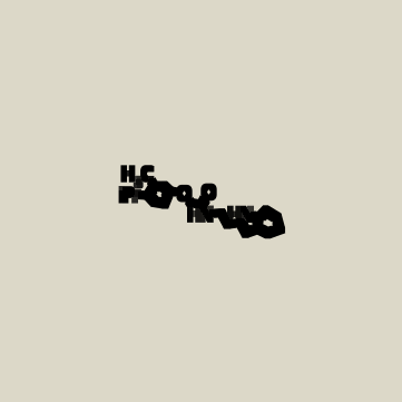 Cc1cc(OCC(=O)NCCc2cc3ccccc3[nH]2)ccc1C(C)C